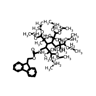 C[SiH2]OC(O[SiH2]C)C(C)(C)C(CNC(=O)OCC1c2ccccc2-c2ccccc21)C(C(C(C(=O)O)C(C)(C)C(O[SiH2]C)O[SiH2]C)C(C)(C)C(O[SiH2]C)O[SiH2]C)C(C)(C)C(O[SiH2]C)O[SiH2]C